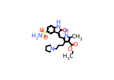 CCOC(=O)c1c(C)[nH]c(C=C2C(=O)Nc3ccc(S(N)(=O)=O)cc32)c1CCCN1CCCC1